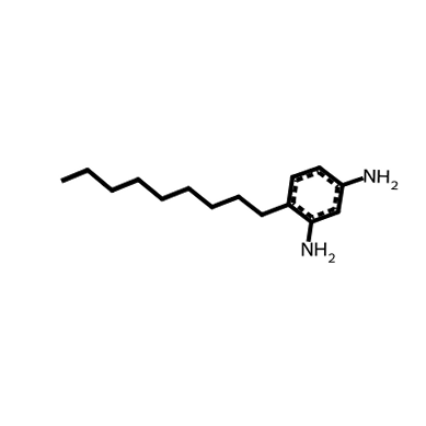 CCCCCCCCCc1ccc(N)cc1N